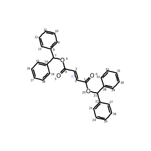 O=C(/C=C/C(=O)OC(c1ccccc1)c1ccccc1)OC(c1ccccc1)c1ccccc1